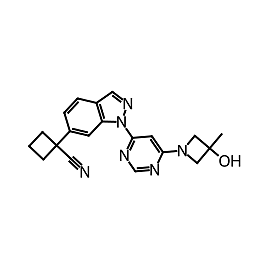 CC1(O)CN(c2cc(-n3ncc4ccc(C5(C#N)CCC5)cc43)ncn2)C1